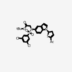 CC(=O)C1=CCC(n2ccc3cc(N(CC(=O)OC(C)(C)C)S(=O)(=O)c4cc(Cl)cc(Cl)c4)ccc32)S1